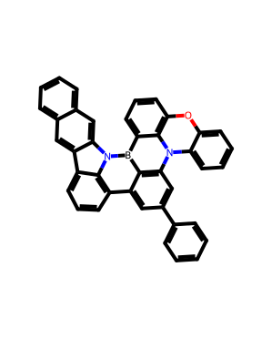 c1ccc(-c2cc3c4c(c2)N2c5ccccc5Oc5cccc(c52)B4n2c4cc5ccccc5cc4c4cccc-3c42)cc1